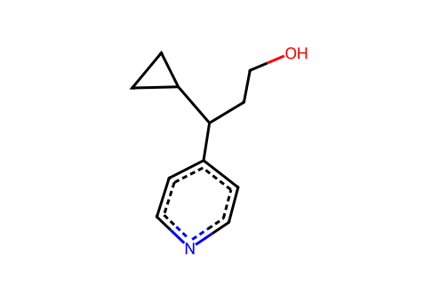 OCCC(c1ccncc1)C1CC1